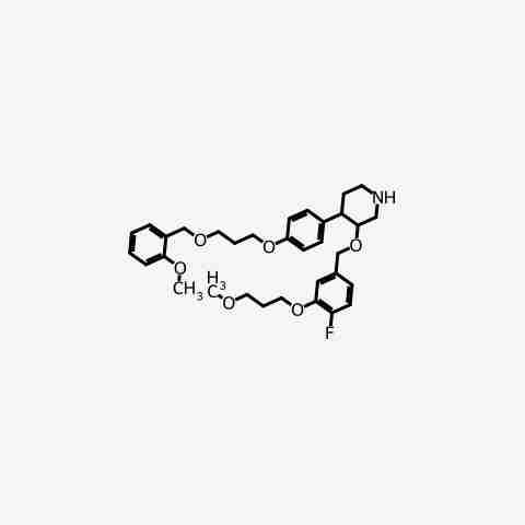 COCCCOc1cc(COC2CNCCC2c2ccc(OCCCOCc3ccccc3OC)cc2)ccc1F